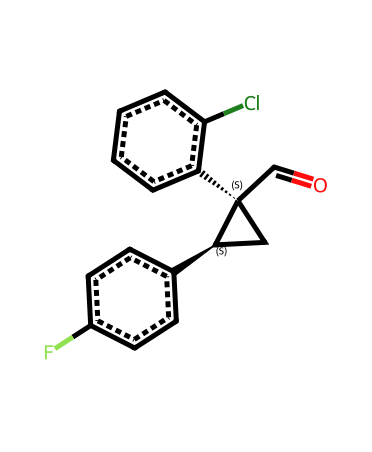 O=C[C@@]1(c2ccccc2Cl)C[C@H]1c1ccc(F)cc1